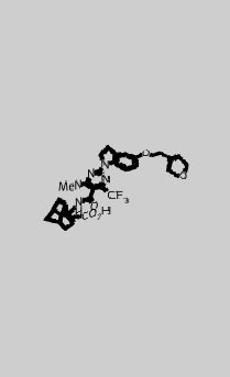 CNc1nc(N2CCc3cc(OCCC4CCOCC4)ccc32)nc(C(F)(F)F)c1C(=O)NC1(C(=O)O)C2CC3CC4CC1C34C2